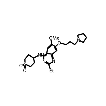 CCc1nc(NC2CCS(=O)(=O)CC2)c2cc(OC)c(OCCCN3CCCC3)cc2n1